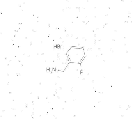 Br.NCc1ccccc1F